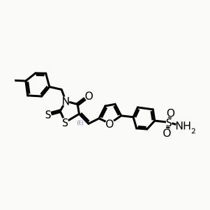 Cc1ccc(CN2C(=O)/C(=C\c3ccc(-c4ccc(S(N)(=O)=O)cc4)o3)SC2=S)cc1